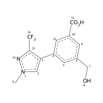 Cn1cc(-c2cc(CO)cc(C(=O)O)c2)c(C(F)(F)F)n1